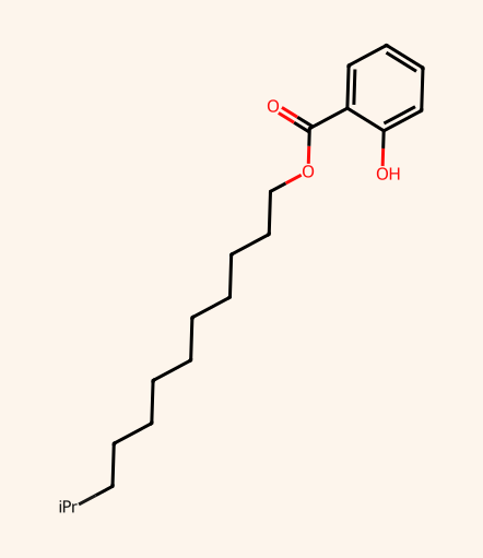 CC(C)CCCCCCCCCCOC(=O)c1ccccc1O